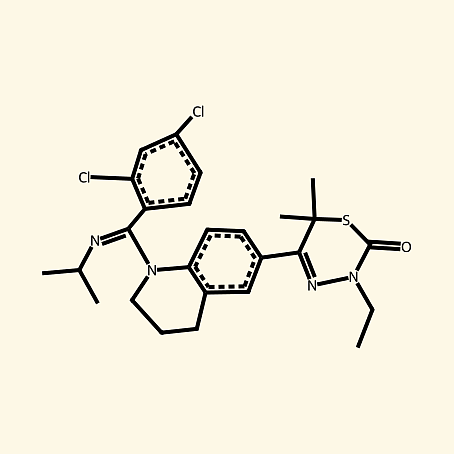 CCN1N=C(c2ccc3c(c2)CCCN3/C(=N\C(C)C)c2ccc(Cl)cc2Cl)C(C)(C)SC1=O